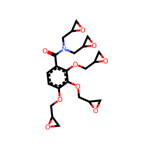 O=C(c1ccc(OCC2CO2)c(OCC2CO2)c1OCC1CO1)N(CC1CO1)CC1CO1